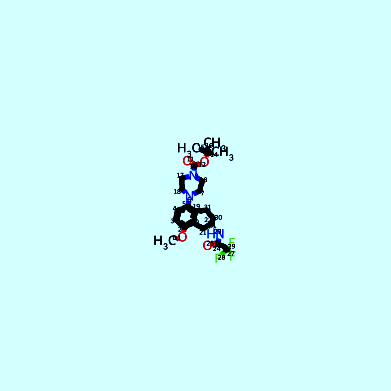 COc1ccc(N2CCN(C(=O)OC(C)(C)C)CC2)c2c1C[C@@H](NC(=O)C(F)(F)F)CC2